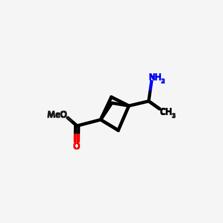 COC(=O)C12CC(C(C)N)(C1)C2